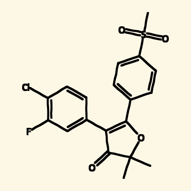 CC1(C)OC(c2ccc(S(C)(=O)=O)cc2)=C(c2ccc(Cl)c(F)c2)C1=O